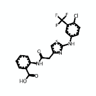 O=C(Cc1csc(Nc2ccc(Cl)c(C(F)(F)F)c2)n1)Nc1ccccc1C(=O)O